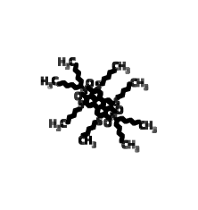 CCCCCCSc1cc2c3cc(SCCCCCC)c4c5c(c(SCCCCCC)cc(c6cc(SCCCCCC)c7c(c1C(=O)N(C(CCCCCC)CCCCCC)C7=O)c26)c53)C(=O)N(C(CCCCCC)CCCCCC)C4=O